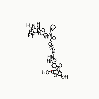 CC(C)(OCCNC(=S)Nc1ccc2c(c1)C(=O)OC21c2ccc(O)cc2Oc2cc(O)ccc21)C(C)(C)OCCC(=O)N(CCN1CCCCC1)c1ccc(Cn2c(=O)[nH]c3c(N)nc(C(F)(F)F)cc32)cn1